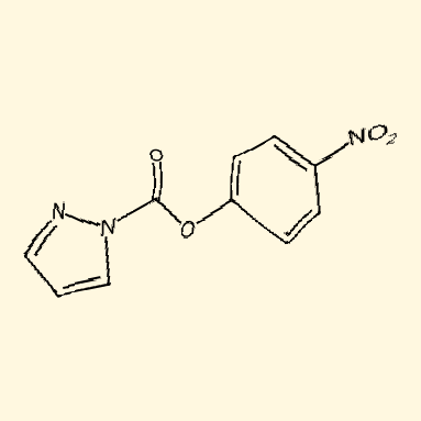 O=C(Oc1ccc([N+](=O)[O-])cc1)n1cccn1